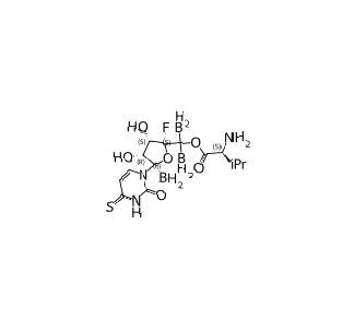 BC(B)(OC(=O)[C@@H](N)C(C)C)[C@@]1(F)O[C@@](B)(n2ccc(=S)[nH]c2=O)[C@H](O)[C@@H]1O